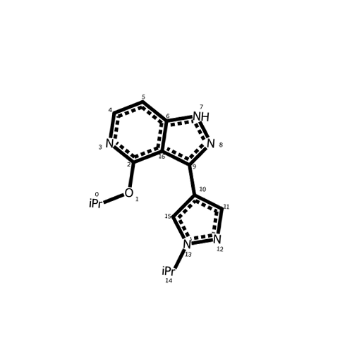 CC(C)Oc1nccc2[nH]nc(-c3cnn(C(C)C)c3)c12